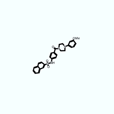 COc1cccc(N2CCN(C(=O)c3ccc(NS(=O)(=O)c4ccc5ccccc5c4)cc3)CC2)c1